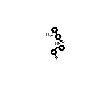 [C-]#[N+]c1cccc(Cc2ccccc2NC(=O)c2ccc(-c3ccccc3C)cc2)c1